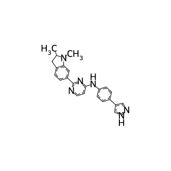 CC1Cc2ccc(-c3nccc(Nc4ccc(-c5cn[nH]c5)cc4)n3)cc2N1C